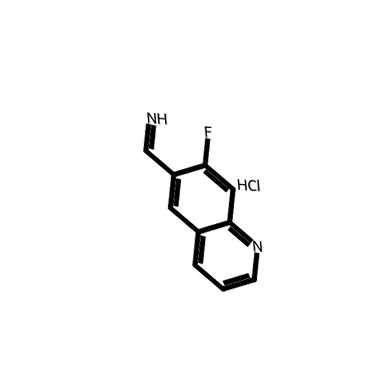 Cl.N=Cc1cc2cccnc2cc1F